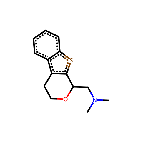 CN(C)CC1OCCc2c1sc1ccccc21